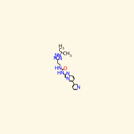 CC(C)n1nnc(CCNC(=O)Nc2cn3cc(-c4cccnc4)ccc3n2)n1